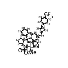 COC(=O)NC1CCC[C@H]1C(Cn1ccnc1C)(c1ccccc1)C1CCN(CC2CN(c3ccc(C(F)(F)F)cc3)C2)CC1